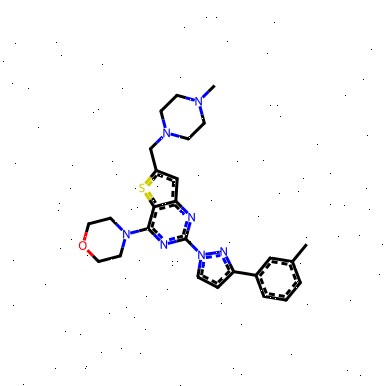 Cc1cccc(-c2ccn(-c3nc(N4CCOCC4)c4sc(CN5CCN(C)CC5)cc4n3)n2)c1